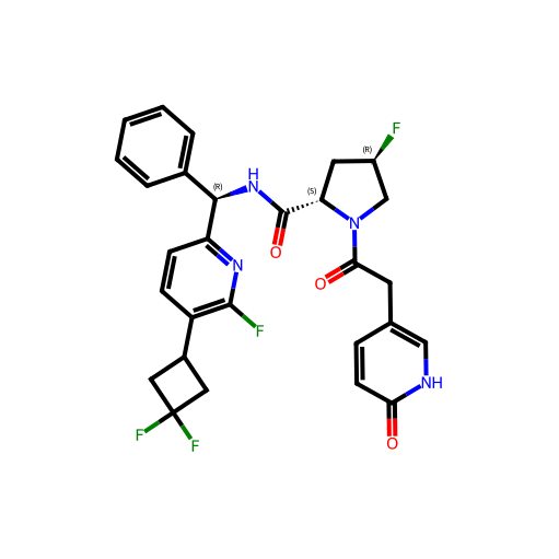 O=C(N[C@H](c1ccccc1)c1ccc(C2CC(F)(F)C2)c(F)n1)[C@@H]1C[C@@H](F)CN1C(=O)Cc1ccc(=O)[nH]c1